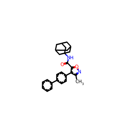 Cc1noc(C(=O)NC23CC4CC(CC(C4)C2)C3)c1-c1ccc(-c2ccccc2)cc1